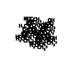 Cc1cc(O)c(C(C)(C)C)cc1C(C)CC(c1cc(C(C)(C)C)c(O)cc1C)c1cc(C(C)(C)C)c(O)cc1C.Cc1cc(O)c(C(C)(C)C)cc1C(C)CC(c1cc(C(C)(C)C)c(O)cc1C)c1cc(C(C)(C)C)c(O)cc1C.O=C(O)O